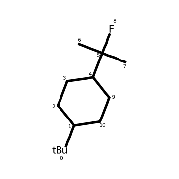 CC(C)(C)C1CCC(C(C)(C)F)CC1